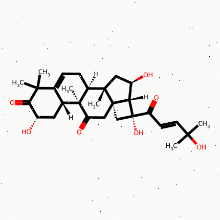 CC(C)(O)/C=C/C(=O)[C@@]1(O)C[C@]23CC(=O)[C@@]4(C)[C@@H]5C[C@H](O)C(=O)C(C)(C)C5=CC[C@H]4[C@]2(C)C[C@@H](O)[C@@H]31